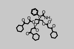 NC(=O)N(c1ccccc1)C(COC(=O)CC(=O)C1CCCCC1)(COC(=O)CC(=O)C1CCCCC1)COC(=O)CC(=O)C1CCCCC1